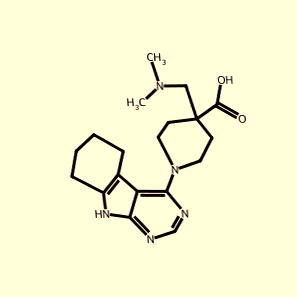 CN(C)CC1(C(=O)O)CCN(c2ncnc3[nH]c4c(c23)CCCC4)CC1